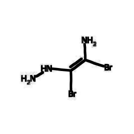 NN/C(Br)=C(\N)Br